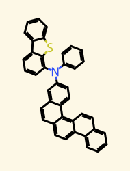 c1ccc(N(c2ccc3c(ccc4ccc5c6ccccc6ccc5c43)c2)c2cccc3c2sc2ccccc23)cc1